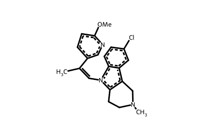 COc1ccc(/C(C)=C\n2c3c(c4cc(Cl)ccc42)CN(C)CC3)cn1